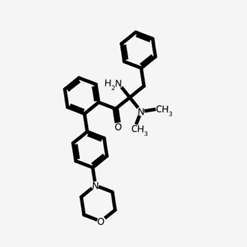 CN(C)C(N)(Cc1ccccc1)C(=O)c1ccccc1-c1ccc(N2CCOCC2)cc1